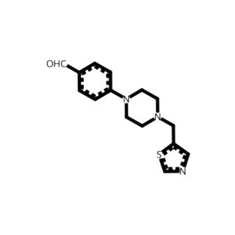 O=Cc1ccc(N2CCN(Cc3cncs3)CC2)cc1